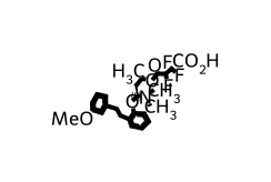 COc1cccc(CCc2ccccc2O[C@@H](CC(C)OC(=O)C(F)C(F)(F)C(=O)O)N(C)C)c1